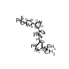 CN(C)c1cnc(F)c(/C=N/NC(=O)c2cncc(-c3ccc(OC(F)F)nc3)n2)c1